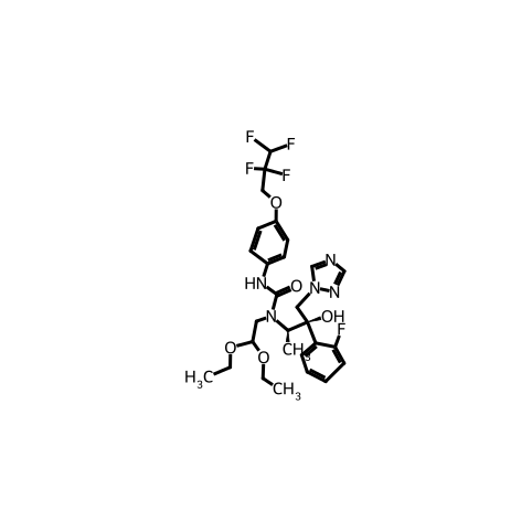 CCOC(CN(C(=O)Nc1ccc(OCC(F)(F)C(F)F)cc1)[C@H](C)[C@](O)(Cn1cncn1)c1ccccc1F)OCC